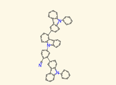 N#Cc1ccc(-n2c3ccccc3c3c(-c4ccc5c(c4)c4ccccc4n5-c4ccccc4)cccc32)cc1-c1ccc2c(c1)c1ccccc1n2-c1ccccc1